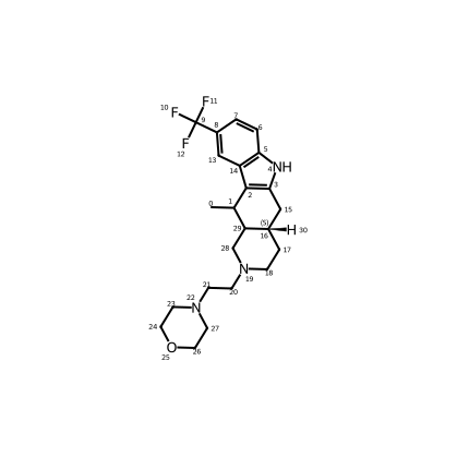 CC1c2c([nH]c3ccc(C(F)(F)F)cc23)C[C@@H]2CCN(CCN3CCOCC3)CC12